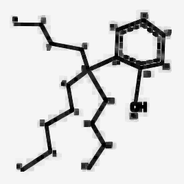 CCCCCC(CCCC)(CCCC)c1ccccc1O